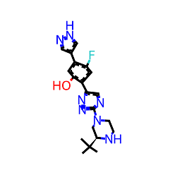 CC(C)(C)[C@H]1CN(c2ncc(-c3cc(F)c(-c4cn[nH]c4)cc3O)nn2)CCN1